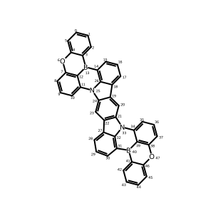 c1ccc2c(c1)Oc1cccc3c1B2c1cccc2c4cc5c(cc4n-3c12)c1cccc2c1n5-c1cccc3c1B2c1ccccc1O3